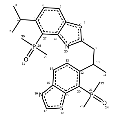 CC(C)c1ccc2sc(CC(C)c3ccc4ncsc4c3P(C)(C)=O)nc2c1P(C)(C)=O